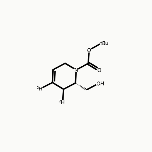 [2H]C1=CCN(C(=O)OC(C)(C)C)[C@H](CO)C1[2H]